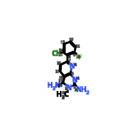 CN1C(N)=Nc2nc(-c3c(F)cccc3Cl)ccc2C1N